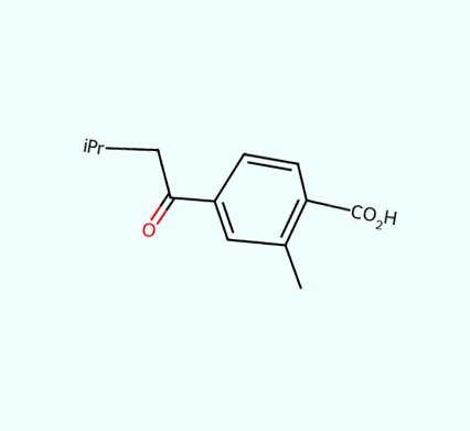 Cc1cc(C(=O)CC(C)C)ccc1C(=O)O